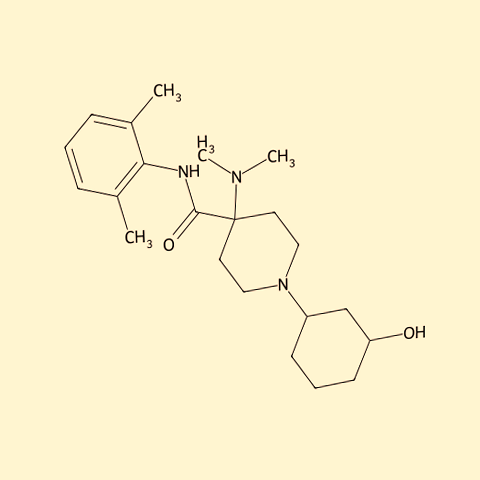 Cc1cccc(C)c1NC(=O)C1(N(C)C)CCN(C2CCCC(O)C2)CC1